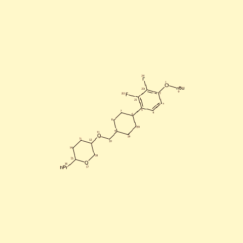 CCCCOc1ccc(C2CCC(COC3CCC(CCC)OC3)CC2)c(F)c1F